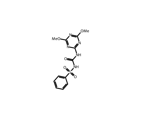 COc1nc(NC(=O)NS(=O)(=O)c2ccccc2)nc(OC)n1